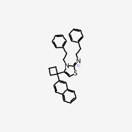 c1ccc(CC/N=c2/scc(C3(c4ccc5ccccc5c4)CCC3)n2CCc2ccccc2)cc1